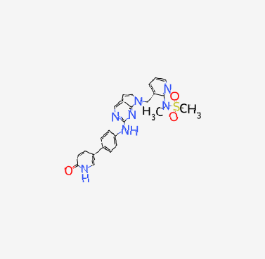 CN(c1ncccc1Cn1ccc2cnc(Nc3ccc(-c4ccc(=O)[nH]c4)cc3)nc21)S(C)(=O)=O